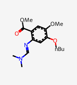 CCCCOc1cc(/N=C/N(C)C)c(C(=O)OC)cc1OC